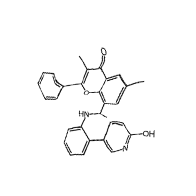 Cc1cc(C(C)Nc2ccccc2-c2ccc(O)nc2)c2oc(-c3ccccc3)c(C)c(=O)c2c1